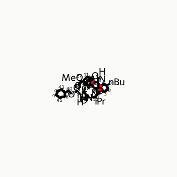 CCCCc1cccc2c1NC1Oc3ccc4cc3C21c1oc(nc1-c1nc(C(=O)OC)co1)[C@H](C(C)C)NC(=O)[C@@H](NC(=O)OCc1ccccc1)C4